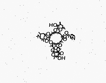 C=C1C[C@@H](C)O[C@@H](O[C@@H]2[C@@H](C)[C@H](O[C@H]3CC(C)N(C)C[C@H](C)O3)[C@@H](C)C(=O)O[C@H]([C@@H](C)CO[C@@H]3O[C@H](C)[C@@H](O)[C@@H](OC)[C@H]3OC)[C@H](C)[C@@H](OC(=O)CC(C)C)[C@@H](C)C(=O)[C@@](C)(OC(=O)n3ccnc3)C[C@@H]2C)[C@@H]1O